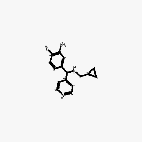 Nc1cc(C(NCC2CC2)c2ccncc2)ccc1F